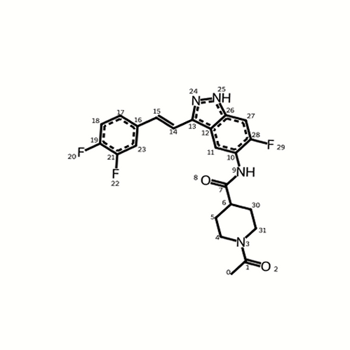 CC(=O)N1CCC(C(=O)Nc2cc3c(/C=C/c4ccc(F)c(F)c4)n[nH]c3cc2F)CC1